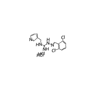 Cl.Cl.N=C(NCc1cccnc1)NN=Cc1c(Cl)cccc1Cl